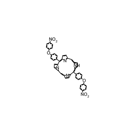 O=[N+]([O-])c1ccc(Oc2ccc(/C3=C4\C=CC(=N4)/C=c4/cc/c([nH]4)=C(\c4ccc(Oc5ccc([N+](=O)[O-])cc5)cc4)C4=N/C(=C\C5C6C=C3N65)C=C4)cc2)cc1